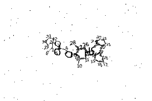 CCC1(OC(=O)COc2c(C)cc([SH]3c4ccccc4-c4ccccc43)cc2C)CCCC1